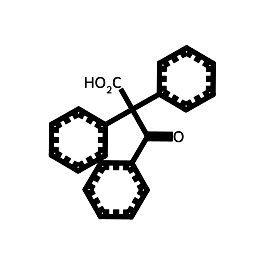 O=C(O)C(C(=O)c1ccccc1)(c1ccccc1)c1ccccc1